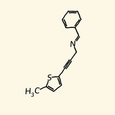 Cc1ccc(C#CCN=Cc2ccccc2)s1